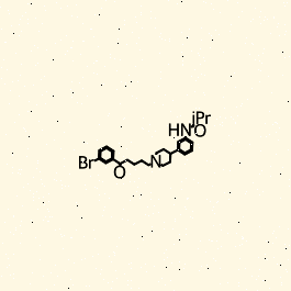 CC(C)C(=O)Nc1cccc(C2CCN(CCCCC(=O)c3cccc(Br)c3)CC2)c1